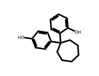 Oc1ccc(C2(c3ccccc3O)CCCCCC2)cc1